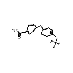 CC(=O)c1ccc(Oc2ccc(OC(F)(F)F)cc2)cc1